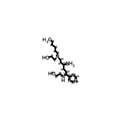 CCCCCCN(CCO)CCC(N)CCC(NCCO)c1ncncn1